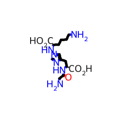 NCCCC[C@H](Nn1cnc(C[C@H](NC(=O)CN)C(=O)O)c1)C(=O)O